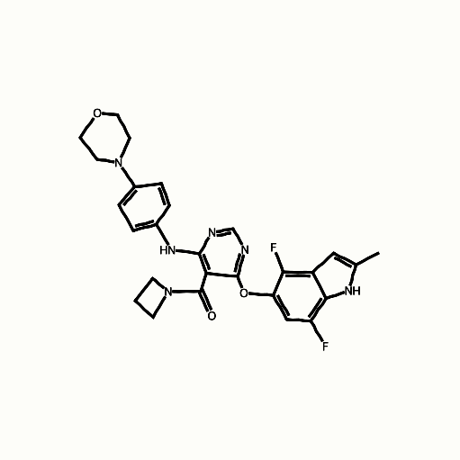 Cc1cc2c(F)c(Oc3ncnc(Nc4ccc(N5CCOCC5)cc4)c3C(=O)N3CCC3)cc(F)c2[nH]1